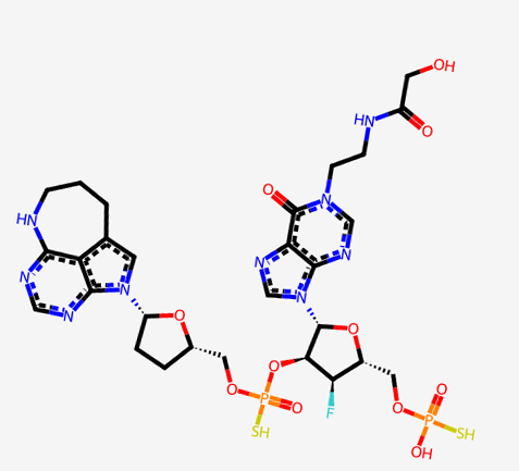 O=C(CO)NCCn1cnc2c(ncn2[C@@H]2O[C@H](COP(=O)(O)S)[C@@H](F)[C@H]2OP(=O)(S)OC[C@@H]2CC[C@H](n3cc4c5c(ncnc53)NCCC4)O2)c1=O